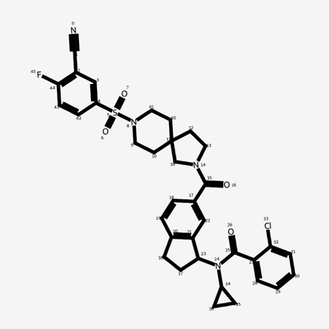 N#Cc1cc(S(=O)(=O)N2CCC3(CCN(C(=O)c4ccc5c(c4)C(N(C(=O)c4ccccc4Cl)C4CC4)CC5)C3)CC2)ccc1F